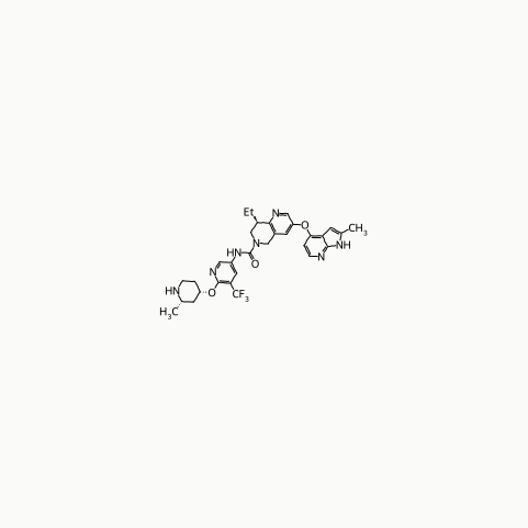 CC[C@@H]1CN(C(=O)Nc2cnc(O[C@H]3CCN[C@@H](C)C3)c(C(F)(F)F)c2)Cc2cc(Oc3ccnc4[nH]c(C)cc34)cnc21